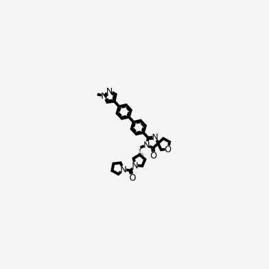 Cn1cc(-c2ccc(-c3ccc(C4=NC5(CCOC5)C(=O)N4C[C@@H]4CCN(C(=O)N5CCCC5)C4)cc3)cc2)cn1